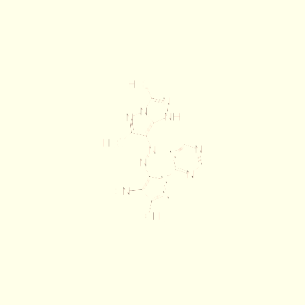 [C-]#[N+]c1c(C)nn(-c2ncncn2)c1/N=N/c1c(C)nn2c(C)n[nH]c12